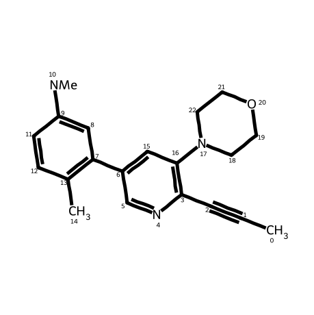 CC#Cc1ncc(-c2cc(NC)ccc2C)cc1N1CCOCC1